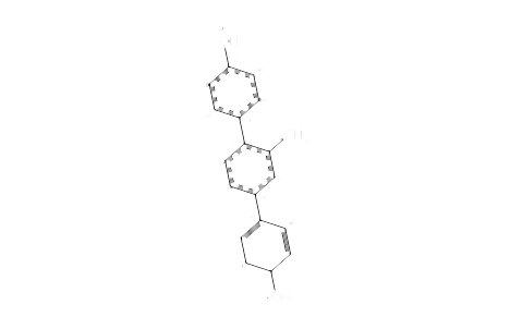 Cc1cc(C2=CCC(O)C=C2)ccc1-c1ccc(O)cc1